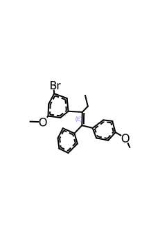 CC/C(=C(/c1ccccc1)c1ccc(OC)cc1)c1cc(Br)cc(OC)c1